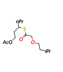 CCCC(CCOC(C)=O)SC(=O)COCCC(C)C